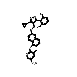 Cc1cc(C(=O)O)cnc1Oc1cccc2cc(OCc3c(-c4c(Cl)cccc4Cl)noc3C3CC3)ccc12